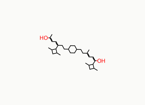 C/C(O)=C\C=C(\CCC1CCC(CC/C(C)=C/C=C(/O)C2C(C)CC2C)CC1)C1C(C)CC1C